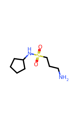 NCCCS(=O)(=O)NC1CCCC1